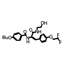 CC(C)COc1ccc(C(=O)N/C(=C/c2ccc(OCC(F)F)cc2)C(=O)NCCO)cc1